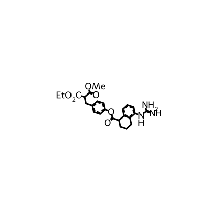 CCOC(=O)C(Cc1ccc(OC(=O)C2CCCc3c(NC(=N)N)cccc32)cc1)C(=O)OC